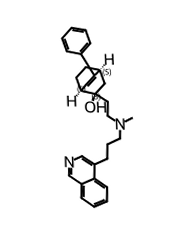 CN(CCCc1cncc2ccccc12)CC[C@@]1(O)C[C@@H]2CC[C@H]1C=C2c1ccccc1